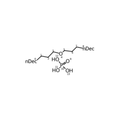 CCCCCCCCCCCCCOCCCCCCCCCCCCC.O=P(O)(O)O